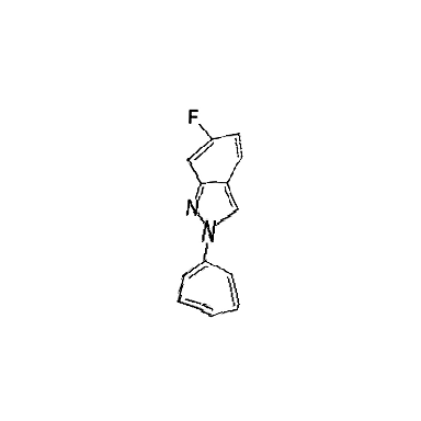 Fc1ccc2cn(-c3ccccc3)nc2c1